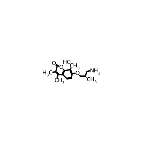 Cc1c(C)c2ccc(OC[C@@H](C)CN)c(C)c2oc1=O.Cl